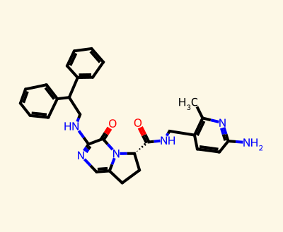 Cc1nc(N)ccc1CNC(=O)[C@@H]1CCc2cnc(NCC(c3ccccc3)c3ccccc3)c(=O)n21